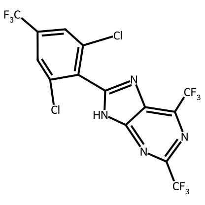 FC(F)(F)c1cc(Cl)c(-c2nc3c(C(F)(F)F)nc(C(F)(F)F)nc3[nH]2)c(Cl)c1